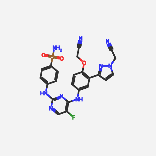 N#CCOc1ccc(Nc2nc(Nc3ccc(S(N)(=O)=O)cc3)ncc2F)cc1-c1ccn(CC#N)n1